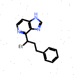 CCC(CCc1ccccc1)c1nccc2[nH]cnc12